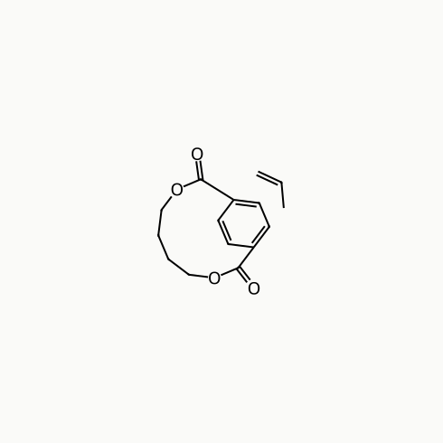 C=CC.O=C1OCCCCOC(=O)c2ccc1cc2